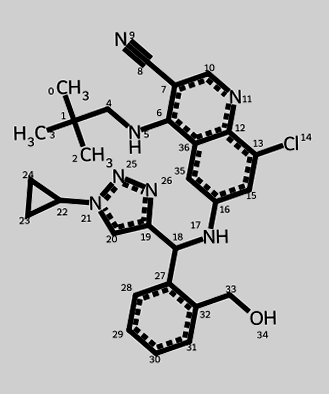 CC(C)(C)CNc1c(C#N)cnc2c(Cl)cc(NC(c3cn(C4CC4)nn3)c3ccccc3CO)cc12